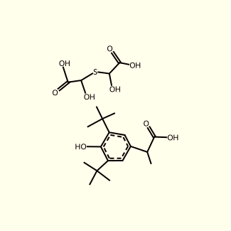 CC(C(=O)O)c1cc(C(C)(C)C)c(O)c(C(C)(C)C)c1.O=C(O)C(O)SC(O)C(=O)O